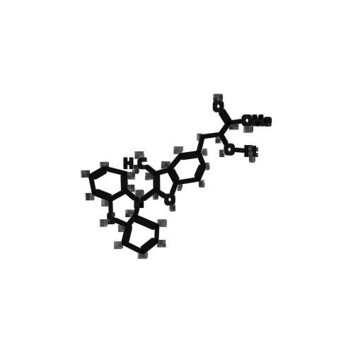 CCOC(Cc1ccc2oc(N3c4ccccc4Sc4ccccc43)c(C)c2c1)C(=O)OC